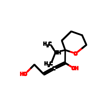 C[SiH](C)C1(C(O)=C=CCO)CCCCO1